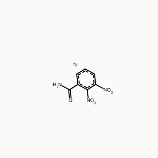 NC(=O)c1cccc([N+](=O)[O-])c1[N+](=O)[O-].[N]